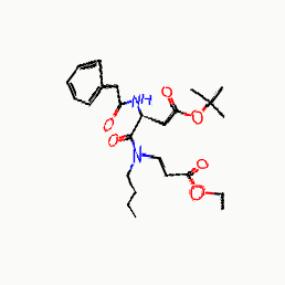 CCCCN(CCC(=O)OCC)C(=O)[C@H](CC(=O)OC(C)(C)C)NC(=O)Cc1ccccc1